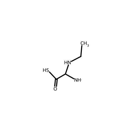 CCNC([NH])C(=O)S